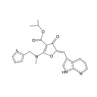 CC(C)OC(=O)C1=C(N(C)Cc2cccs2)O/C(=C\c2c[nH]c3ncccc23)C1=O